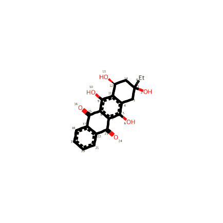 CCC1(O)Cc2c(O)c3c(c(O)c2[C@@H](O)C1)C(=O)c1ccccc1C3=O